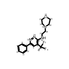 FC(F)(F)c1cc(-c2ccccc2)nnc1NCCN1CCOCC1